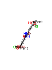 CCCCCC(OC(=O)CCl)C(O)CC=CCCCCCCCC(=O)NCCNC(=O)CCCCCCCC=CCC(O)C(CCCCC)OC(=O)CCl